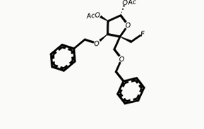 CC(=O)O[C@@H]1O[C@](CF)(COCc2ccccc2)[C@@H](OCc2ccccc2)[C@H]1OC(C)=O